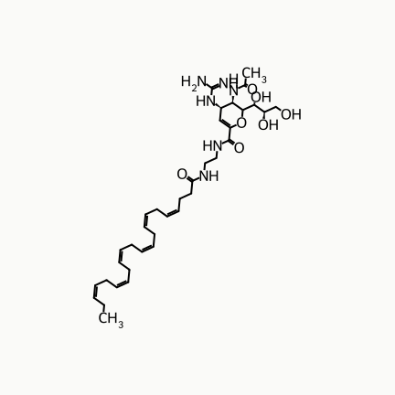 CC/C=C\C/C=C\C/C=C\C/C=C\C/C=C\C/C=C\CCC(=O)NCCNC(=O)C1=C[C@@H](NC(=N)N)[C@@H](NC(C)=O)C([C@H](O)[C@H](O)CO)O1